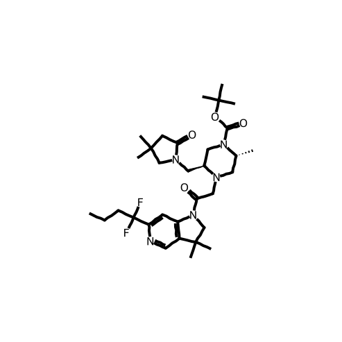 CCCC(F)(F)c1cc2c(cn1)C(C)(C)CN2C(=O)CN1C[C@@H](C)N(C(=O)OC(C)(C)C)C[C@@H]1CN1CC(C)(C)CC1=O